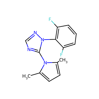 Cc1ccc(C)n1-c1ncnn1-c1c(F)cccc1F